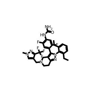 CCc1cccc(CC)c1-n1nc2c(c1-c1cc(F)c(NC(N)=O)cc1F)CN(Cc1cn(C)nc1C(F)(F)F)CC2